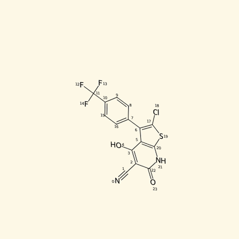 N#Cc1c(O)c2c(-c3ccc(C(F)(F)F)cc3)c(Cl)sc2[nH]c1=O